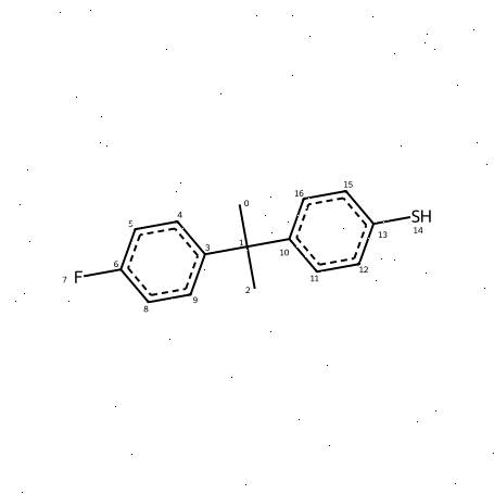 CC(C)(c1ccc(F)cc1)c1ccc(S)cc1